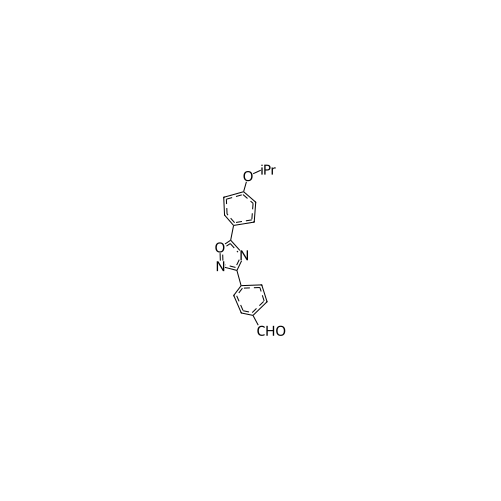 CC(C)Oc1ccc(-c2nc(-c3ccc(C=O)cc3)no2)cc1